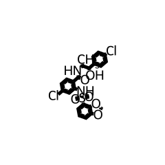 CC(NC(=O)c1ccc(Cl)cc1NS(=O)(=O)c1cccc2c1OCO2)C(O)c1ccc(Cl)cc1